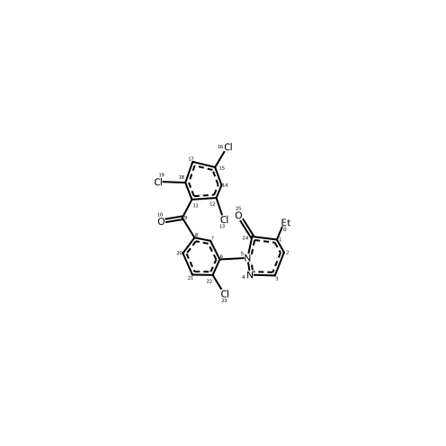 CCc1ccnn(-c2cc(C(=O)c3c(Cl)cc(Cl)cc3Cl)ccc2Cl)c1=O